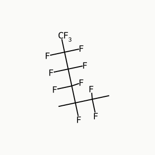 CC(F)(F)C(C)(F)C(F)(F)C(F)(F)C(F)(F)C(F)(F)F